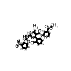 COC(=O)c1ccnc(NC(=O)C2=C(C)NC(Nc3nc4c([N+](=O)[O-])cccc4o3)=NC2c2ccccc2Cl)c1